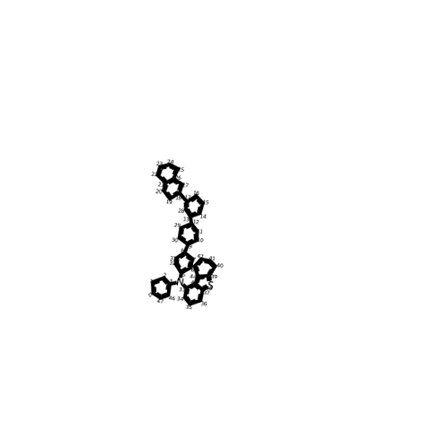 c1ccc(N(c2ccc(-c3ccc(-c4cccc(-c5ccc6ccccc6c5)c4)cc3)cc2)c2cccc3sc4ccccc4c23)cc1